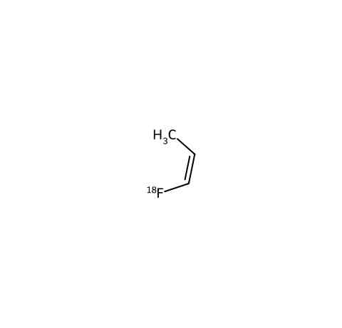 C/C=C\[18F]